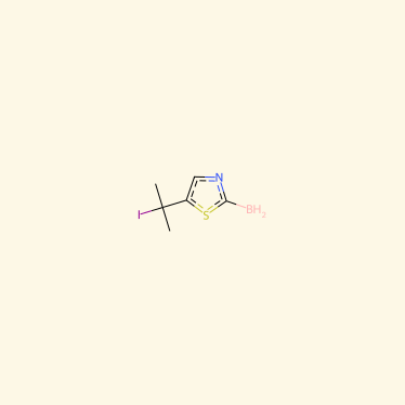 Bc1ncc(C(C)(C)I)s1